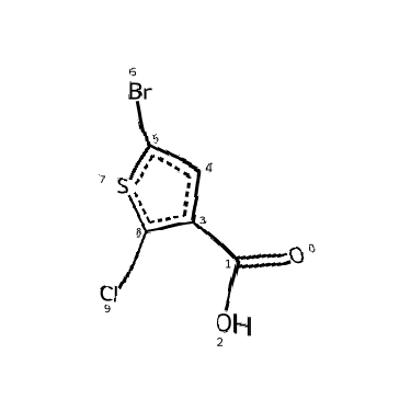 O=C(O)c1cc(Br)sc1Cl